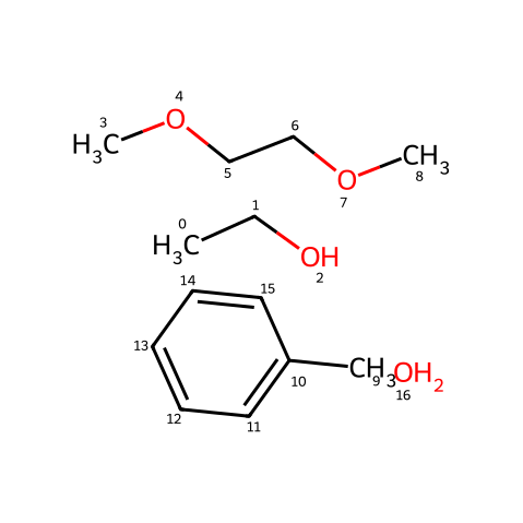 CCO.COCCOC.Cc1ccccc1.O